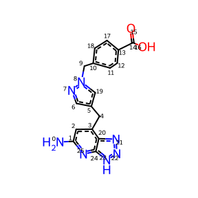 Nc1cc(Cc2cnn(Cc3ccc(C(=O)O)cc3)c2)c2nn[nH]c2n1